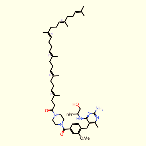 CCCC(CO)Nc1nc(N)nc(C)c1Cc1ccc(C(=O)N2CCN(C(=O)CC/C(C)=C/CC/C(C)=C/CC/C(C)=C/CC/C=C(\C)CC/C=C(\C)CCC=C(C)C)CC2)cc1OC